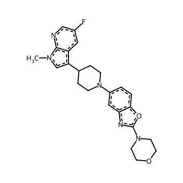 Cn1cc(C2CCN(c3ccc4oc(N5CCOCC5)nc4c3)CC2)c2cc(F)cnc21